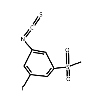 CS(=O)(=O)c1cc(I)cc(N=C=S)c1